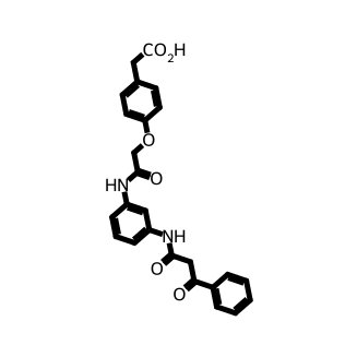 O=C(O)Cc1ccc(OCC(=O)Nc2cccc(NC(=O)CC(=O)c3ccccc3)c2)cc1